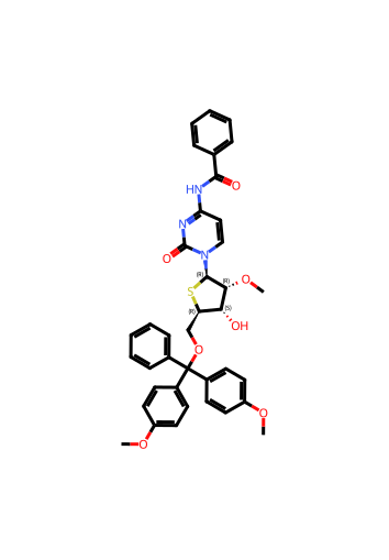 COc1ccc(C(OC[C@H]2S[C@@H](n3ccc(NC(=O)c4ccccc4)nc3=O)[C@H](OC)[C@@H]2O)(c2ccccc2)c2ccc(OC)cc2)cc1